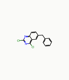 Clc1nc(Cl)c2cc(Cc3ccccc3)ccc2n1